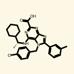 Cc1cccc(-c2nc3nc(C(=O)O)nc(N[C@H](C)C4CCCCC4)c3n2Cc2ccc(Cl)cc2)c1